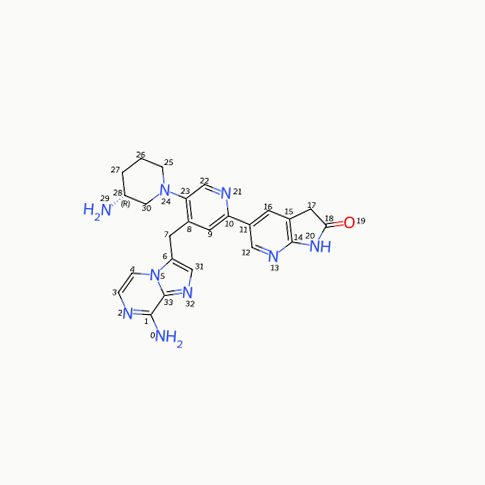 Nc1nccn2c(Cc3cc(-c4cnc5c(c4)CC(=O)N5)ncc3N3CCC[C@@H](N)C3)cnc12